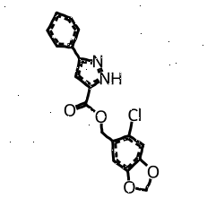 O=C(OCc1cc2c(cc1Cl)OCO2)c1cc(-c2ccccc2)n[nH]1